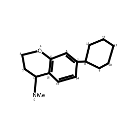 CNC1CCOc2cc(C3CCCCC3)ccc21